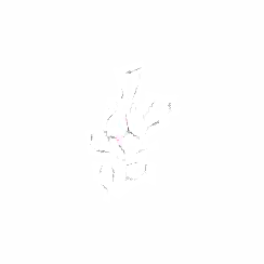 c1ccc([Si](c2ccccc2)(c2ccccc2)c2ccc(-c3ccccc3B3c4ccccc4Oc4ccccc43)cc2)cc1